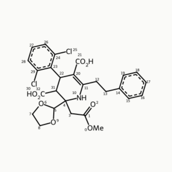 COC(=O)CC1(C2OCCO2)NC(CCc2ccccc2)=C(C(=O)O)C(c2c(Cl)cccc2Cl)C1C(=O)O